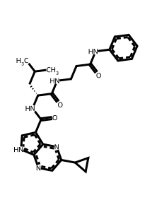 CC(C)C[C@@H](NC(=O)c1c[nH]c2ncc(C3CC3)nc12)C(=O)NCCC(=O)Nc1ccccc1